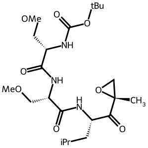 COC[C@H](NC(=O)OC(C)(C)C)C(=O)N[C@@H](COC)C(=O)N[C@@H](CC(C)C)C(=O)[C@@]1(C)CO1